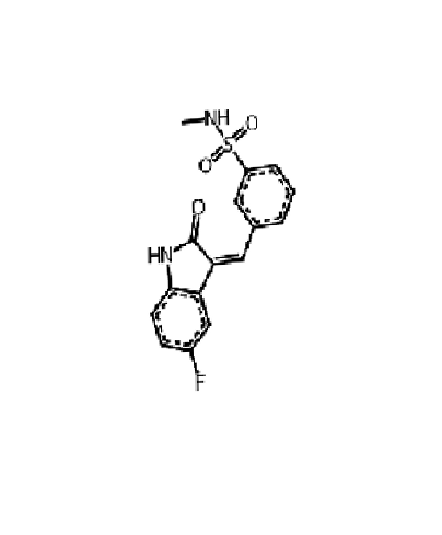 CNS(=O)(=O)c1cccc(C=C2C(=O)Nc3ccc(F)cc32)c1